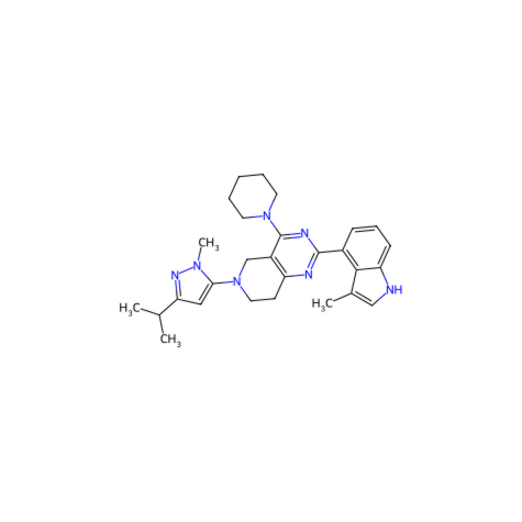 Cc1c[nH]c2cccc(-c3nc4c(c(N5CCCCC5)n3)CN(c3cc(C(C)C)nn3C)CC4)c12